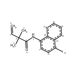 C=CC(C)(C)C(=O)Nc1ccc(I)c2cccnc12